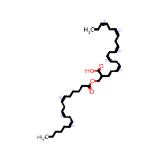 CC/C=C\C/C=C\C/C=C\C/C=C\C/C=C\CCC(COC(=O)CCCC/C=C\C/C=C\C/C=C\CCCCC)C(=O)O